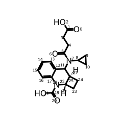 O=C(O)CCC(=O)N(C1CC1)C1c2ccccc2N(C(=O)O)[C@H]2CC[C@H]12